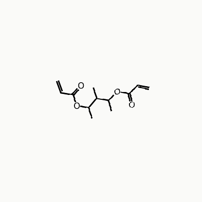 C=CC(=O)OC(C)C(C)C(C)OC(=O)C=C